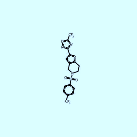 O=S(=O)(c1ccc(C(F)(F)F)cc1)N1CCc2sc(-c3noc(C(F)(F)F)n3)cc2C1